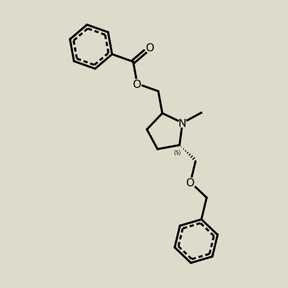 CN1C(COC(=O)c2ccccc2)CC[C@H]1COCc1ccccc1